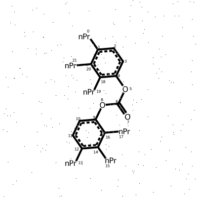 CCCc1ccc(OC(=O)Oc2ccc(CCC)c(CCC)c2CCC)c(CCC)c1CCC